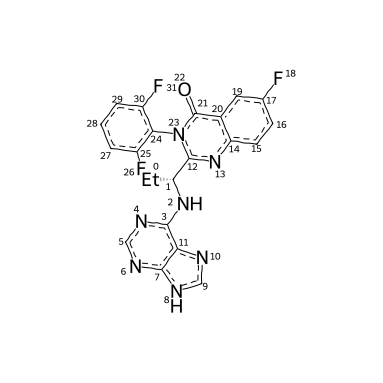 CC[C@@H](Nc1ncnc2[nH]cnc12)c1nc2ccc(F)cc2c(=O)n1-c1c(F)cccc1F